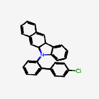 Clc1ccc(-c2ccccc2N2c3ccccc3C3C=c4ccccc4=CC32)cc1